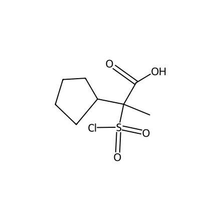 CC(C(=O)O)(C1CCCC1)S(=O)(=O)Cl